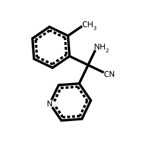 Cc1ccccc1C(N)(C#N)c1cccnc1